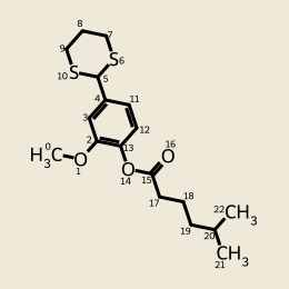 COc1cc(C2SCCCS2)ccc1OC(=O)CCCC(C)C